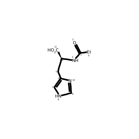 CCC(=O)N[C@@H](Cc1c[nH]cn1)C(=O)O